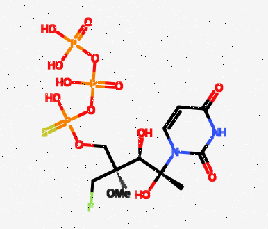 CO[C@](CF)(COP(O)(=S)OP(=O)(O)OP(=O)(O)O)[C@@H](O)[C@@](C)(O)n1ccc(=O)[nH]c1=O